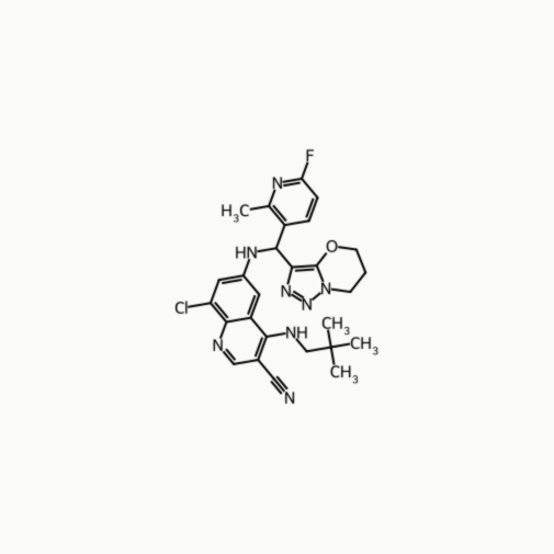 Cc1nc(F)ccc1C(Nc1cc(Cl)c2ncc(C#N)c(NCC(C)(C)C)c2c1)c1nnn2c1OCCC2